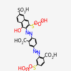 O=C(O)c1ccc(SOOO)cc1/N=N/c1ccc(/N=N/c2c(SOOO)cc3cc(S(=O)(=O)O)ccc3c2O)c(C(=O)O)c1